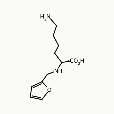 NCCCC[C@H](NCc1ccco1)C(=O)O